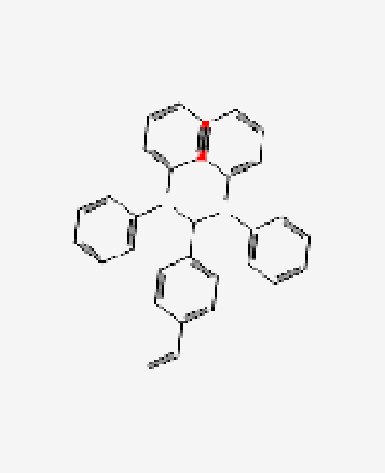 C=Cc1ccc(C(P(c2ccccc2)c2ccccc2)P(c2ccccc2)c2ccccc2)cc1